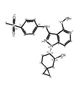 CCCCOc1nccc2c1c(Nc1ccc(S(C)(=O)=O)cc1)nn2[C@H]1CCC2(CC2)C[C@@H]1C#N